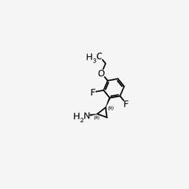 CCOc1ccc(F)c([C@H]2C[C@H]2N)c1F